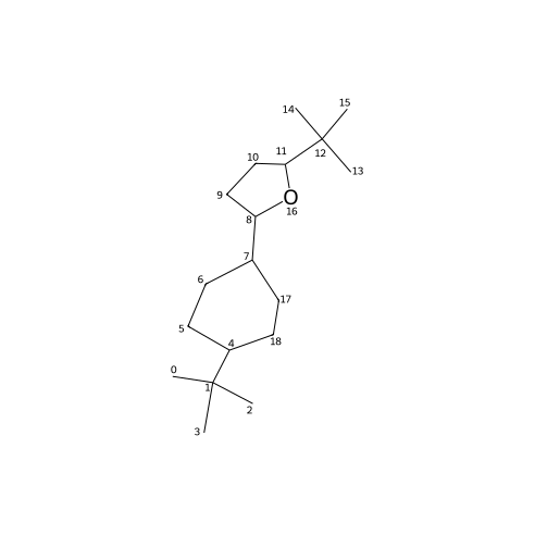 CC(C)(C)C1CCC(C2CCC(C(C)(C)C)O2)CC1